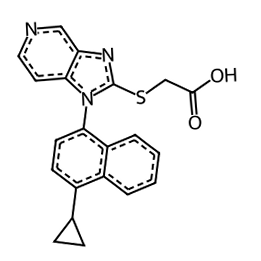 O=C(O)CSc1nc2cnccc2n1-c1ccc(C2CC2)c2ccccc12